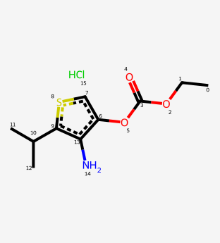 CCOC(=O)Oc1csc(C(C)C)c1N.Cl